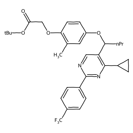 CCCC(Oc1ccc(OCC(=O)OC(C)(C)C)c(C)c1)c1cnc(-c2ccc(C(F)(F)F)cc2)nc1C1CC1